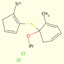 CC1=CC=CCC1(OC(C)C)SC1=[C]([Ti+2])CC=C1.[Cl-].[Cl-]